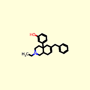 CCN1CCC2(c3cccc(O)c3)CC(Cc3ccccc3)=CCC2C1